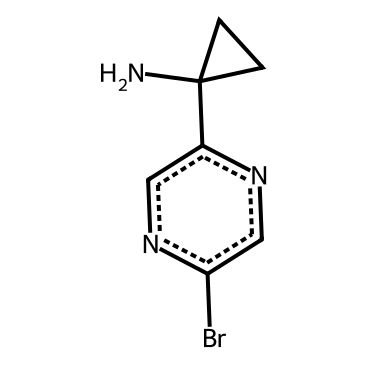 NC1(c2cnc(Br)cn2)CC1